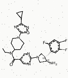 CCN(C(=O)c1cnc(N2C[C@H](c3cc(F)c(F)cc3F)[C@@H](N)C2)nc1)C1CCN(c2nc(C3CC3)no2)CC1